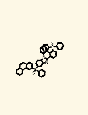 S=P(c1ccccc1)(c1ccc2c(c1)nc1c3cccc(P(=S)(c4ccccc4)c4ccccc4)c3c3ccccc3n21)c1ccc2ccc3ccccc3c2c1